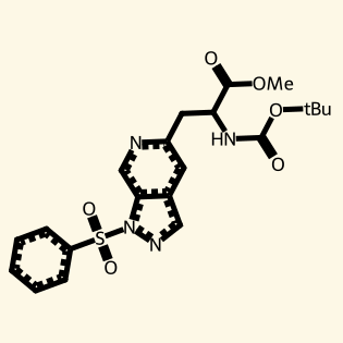 COC(=O)C(Cc1cc2cnn(S(=O)(=O)c3ccccc3)c2cn1)NC(=O)OC(C)(C)C